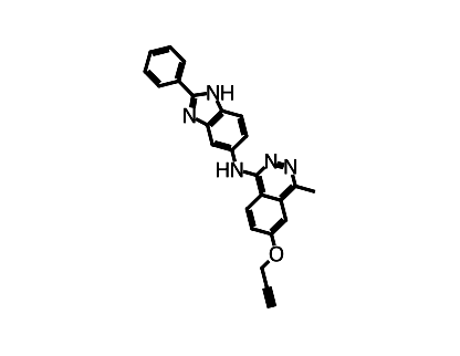 C#CCOc1ccc2c(Nc3ccc4[nH]c(-c5ccccc5)nc4c3)nnc(C)c2c1